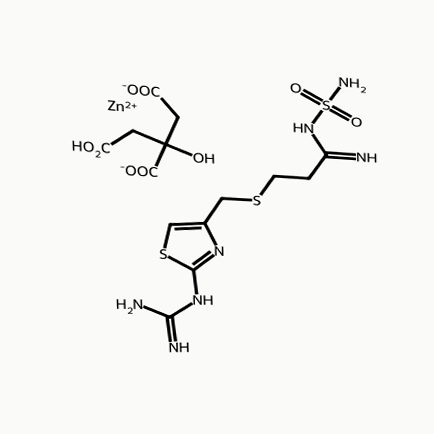 N=C(N)Nc1nc(CSCCC(=N)NS(N)(=O)=O)cs1.O=C([O-])CC(O)(CC(=O)O)C(=O)[O-].[Zn+2]